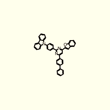 c1ccc(-c2ccc(-c3cc(-c4cc5ccccc5o4)nc(-c4ccc(-n5c6ccccc6c6ccccc65)cc4)n3)cc2)cc1